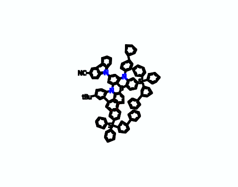 CC(C)(C)c1ccc(N2c3cc(-c4ccc([Si](c5ccccc5)(c5ccccc5)c5cccc(-c6ccccc6)c5)cc4)ccc3B3c4ccc([Si](c5ccccc5)(c5ccccc5)c5cccc(-c6ccccc6)c5)cc4N(c4ccc(-c5ccccc5)cc4)c4cc(-n5c6ccccc6c6cc(C#N)ccc65)cc2c43)c(-c2ccccc2)c1